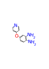 Nc1ccc(Oc2ccncc2)cc1N